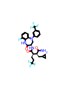 NC(=O)[C@@H](CC1CC1)[C@@H](CCC(F)(F)F)C(=O)N[C@H]1CN(c2cccc(C(F)(F)F)c2)c2cccc(F)c2NC1=O